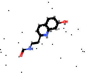 O=CNC=Cc1ccc2ccc(O)cc2n1